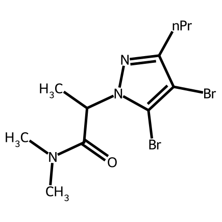 CCCc1nn(C(C)C(=O)N(C)C)c(Br)c1Br